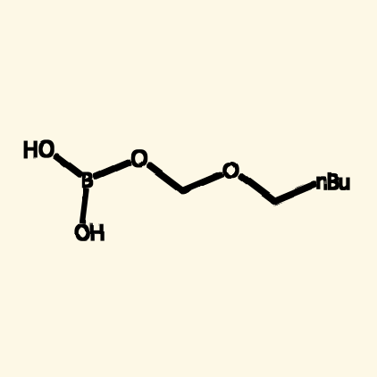 CCCCCOCOB(O)O